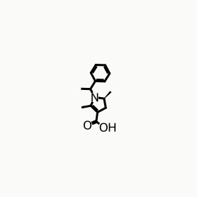 CC1=C(C(=O)O)C[C@H](C)N1C(C)c1ccccc1